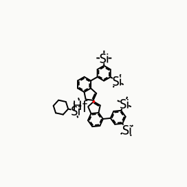 C[Si](C1CCCCC1)=[Hf]([CH3])([CH3])([CH]1C=Cc2c(-c3cc([Si](C)(C)C)cc([Si](C)(C)C)c3)cccc21)[CH]1C=Cc2c(-c3cc([Si](C)(C)C)cc([Si](C)(C)C)c3)cccc21